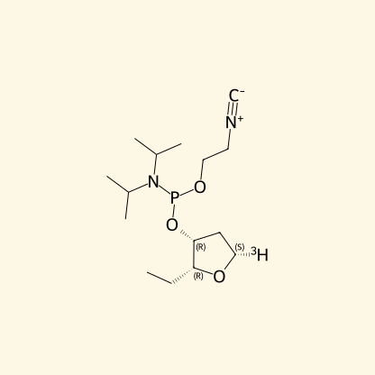 [3H][C@H]1C[C@@H](OP(OCC[N+]#[C-])N(C(C)C)C(C)C)[C@@H](CC)O1